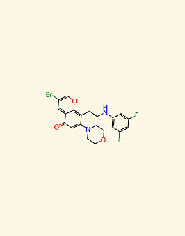 O=c1cc(N2CCOCC2)c(CCNc2cc(F)cc(F)c2)c2occ(Br)cc1-2